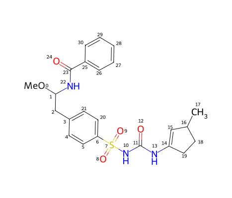 COC(Cc1ccc(S(=O)(=O)NC(=O)NC2=CC(C)CC2)cc1)NC(=O)c1ccccc1